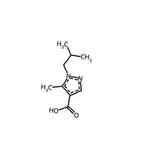 Cc1c(C(=O)O)cnn1CC(C)C